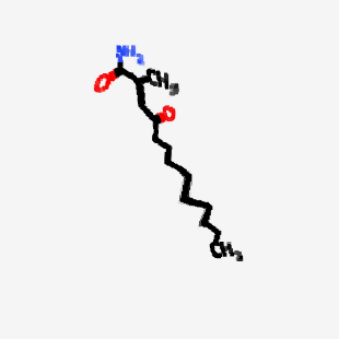 CCCCCCCCCC(=O)/C=C(\C)C(N)=O